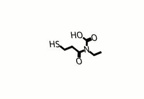 CCN(C(=O)O)C(=O)CCS